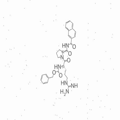 N=C(N)NCCC[C@H](NC(=O)OCc1ccccc1)C(=O)N1CCC[C@H]1C(=O)NC(=O)c1ccc2ccccc2c1